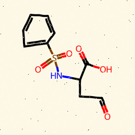 O=CCC(NS(=O)(=O)c1ccccc1)C(=O)O